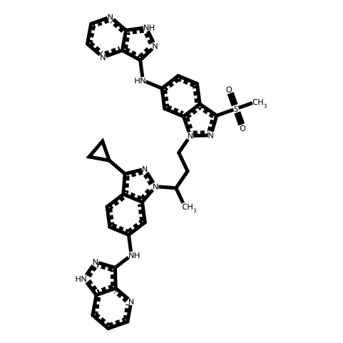 CC(CCn1nc(S(C)(=O)=O)c2ccc(Nc3n[nH]c4nccnc34)cc21)n1nc(C2CC2)c2ccc(Nc3n[nH]c4cccnc34)cc21